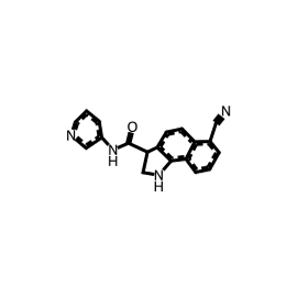 N#Cc1cccc2c3c(ccc12)C(C(=O)Nc1cccnc1)CN3